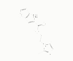 Cc1nccn1CCOC(=O)c1cc2occc2[nH]1